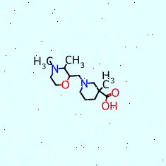 CC1C(CN2CCCC(C)(C(=O)O)C2)OCCN1C